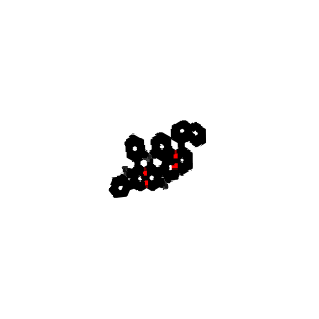 c1cc(-c2ccccc2-c2cccc3ccccc23)cc(N(c2ccccc2-c2cccc3c2sc2ccccc23)c2cccc3sc4ccccc4c23)c1